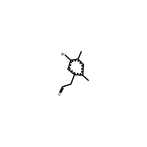 Cc1cc(C)c(CC=O)cc1Br